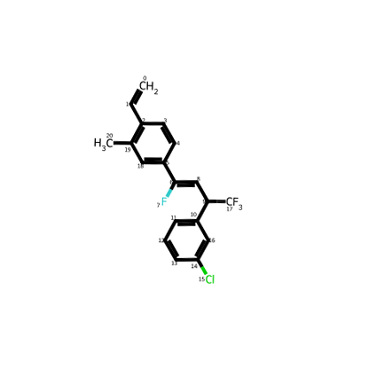 C=Cc1ccc(/C(F)=C/C(c2cccc(Cl)c2)C(F)(F)F)cc1C